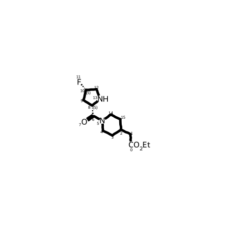 CCOC(=O)CC1CCN(C(=O)[C@@H]2C[C@H](F)CN2)CC1